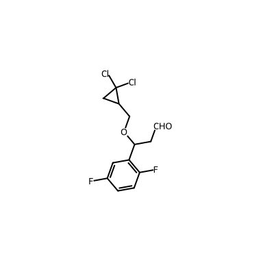 O=CCC(OCC1CC1(Cl)Cl)c1cc(F)ccc1F